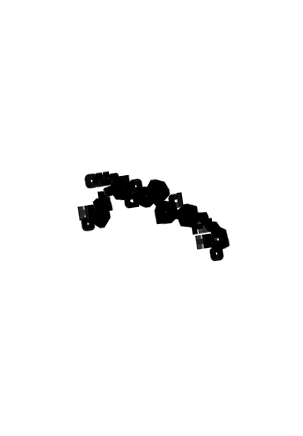 COc1nc(O[C@H]2CCc3c(-c4cccc(-c5ccc(CNCC6CCC(=O)N6)cc5)c4Cl)cccc32)c(Cl)cc1CN1CC2(CCC(=O)N2)C1